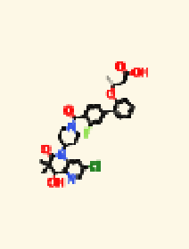 C[C@H](CC(=O)O)Oc1ccccc1-c1ccc(C(=O)N2CCC(N3C(=O)C(C)(C)C(O)c4ncc(Cl)cc43)CC2)c(F)c1